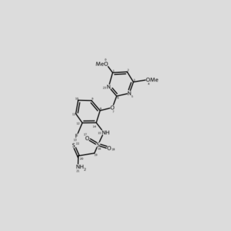 COc1cc(OC)nc(Oc2cccc(F)c2NS(=O)(=O)CC(N)=S)n1